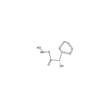 O=C(ONO)[C@@H](O)c1ccccc1